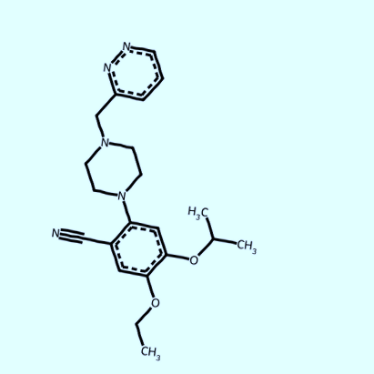 CCOc1cc(C#N)c(N2CCN(Cc3cccnn3)CC2)cc1OC(C)C